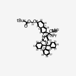 CC(C)C(O)(c1ccc2cc(OCOC(=O)C(C)(C)C)ccc2c1)c1cn(C(c2ccccc2)(c2ccccc2)c2ccccc2)cn1.[H-].[Na+]